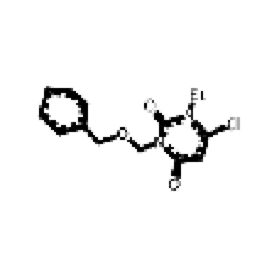 CCn1c(Cl)cc(=O)n(COCc2ccccc2)c1=O